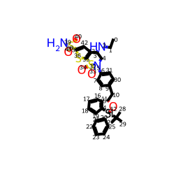 CCNC1CN(c2ccc(CCO[Si](c3ccccc3)(c3ccccc3)C(C)(C)C)cc2)S(=O)(=O)c2sc(S(N)(=O)=O)cc21